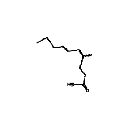 CCCCCCC(C)CCC(=O)S